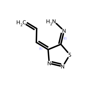 C=C/C=C1/N=NS/C1=N/N